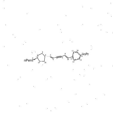 CCCCC[C@H]1CC[C@H](C=CC#CC=Cc2ccc(CCC)cc2)CC1